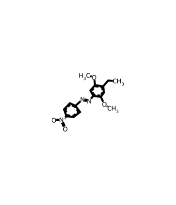 CCc1cc(OC)c(/N=N/c2ccc([N+](=O)[O-])cc2)cc1OC